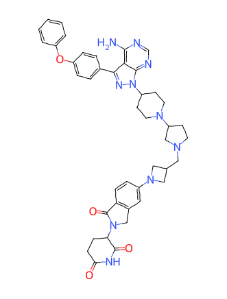 Nc1ncnc2c1c(-c1ccc(Oc3ccccc3)cc1)nn2C1CCN(C2CCN(CC3CN(c4ccc5c(c4)CN(C4CCC(=O)NC4=O)C5=O)C3)C2)CC1